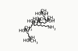 CB(O)NCCCN(CCCCN(CC(CCCCCCN)CN(CCCCN(CCCNB(C)O)B(C)O)B(C)O)B(C)O)B(C)O